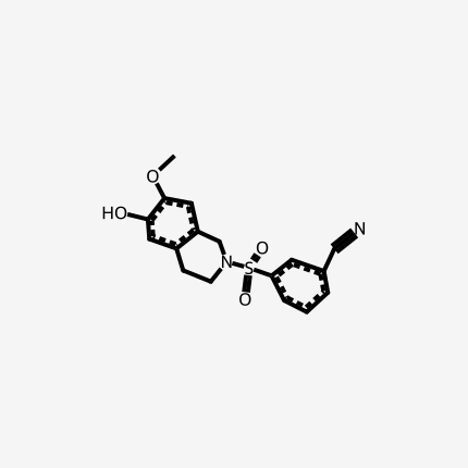 COc1cc2c(cc1O)CCN(S(=O)(=O)c1cccc(C#N)c1)C2